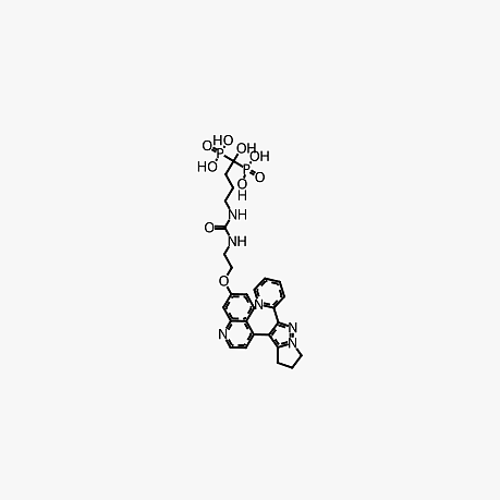 O=C(NCCCC(O)(P(=O)(O)O)P(=O)(O)O)NCCOc1ccc2c(-c3c(-c4ccccn4)nn4c3CCC4)ccnc2c1